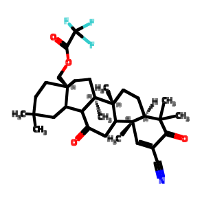 CC1(C)CC[C@]2(COC(=O)C(F)(F)F)CC[C@]3(C)C(C(=O)CC4[C@@]5(C)C=C(C#N)C(=O)C(C)(C)[C@@H]5CC[C@]43C)C2C1